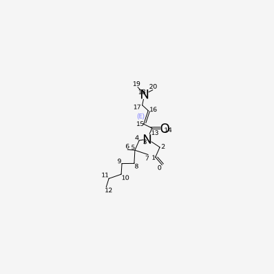 C=CCN(CC(C)(C)CCCCC)C(=O)/C=C/CN(C)C